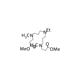 CCN(CCCN(C)CCC(=O)OC)CCCN(C)CCC(=O)OC